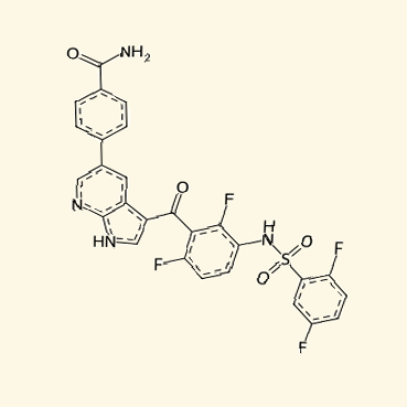 NC(=O)c1ccc(-c2cnc3[nH]cc(C(=O)c4c(F)ccc(NS(=O)(=O)c5cc(F)ccc5F)c4F)c3c2)cc1